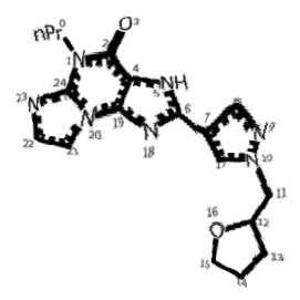 CCCn1c(=O)c2[nH]c(-c3cnn(CC4CCCO4)c3)nc2n2ccnc12